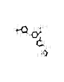 NNC(=O)[C@]1(Cc2cccc(Nc3cc[nH]n3)n2)CC[C@@H](Oc2cccc(C(F)(F)F)c2F)CC1